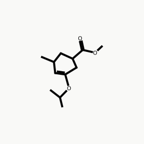 COC(=O)C1CC(OC(C)C)=CC(C)C1